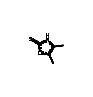 Cc1[nH]c(=S)oc1C